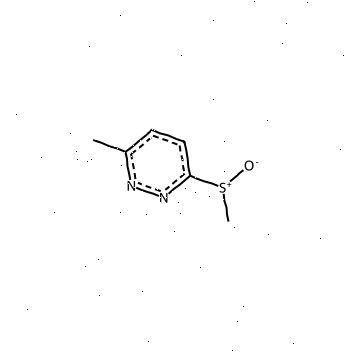 Cc1ccc([S+](C)[O-])nn1